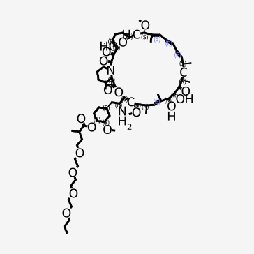 CCCOCCOCCOCCOCCC(C)C(=O)O[C@@H]1CC[C@@H](C[C@@H](N)[C@@H]2C[C@@H](OC)[C@H](C)/C=C(\C)[C@@H](O)[C@@H](O)C(=O)[C@H](C)C[C@H](C)/C=C/C=C/C=C(\C)[C@@H](OC)C[C@@H]3CC[C@@H](C)[C@@](O)(O3)C(=O)C(=O)N3CCCC[C@H]3C(=O)O2)C[C@H]1OC